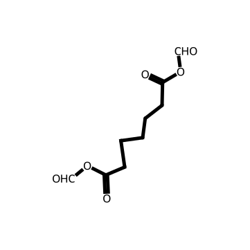 O=COC(=O)CCCCCC(=O)OC=O